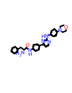 NC(Cc1ccccc1)C(=O)Nc1ccc(-c2ccnc(Nc3ccc(N4CCOCC4)cc3)n2)cc1